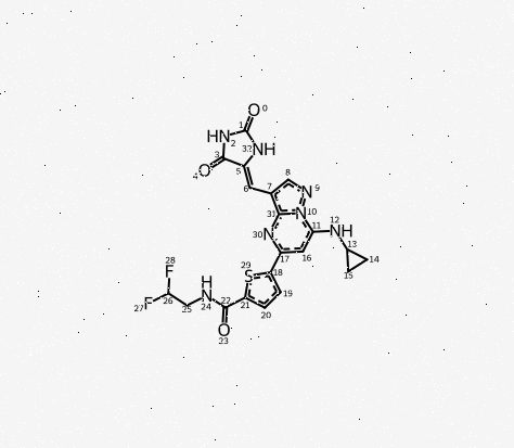 O=C1NC(=O)/C(=C/c2cnn3c(NC4CC4)cc(-c4ccc(C(=O)NCC(F)F)s4)nc23)N1